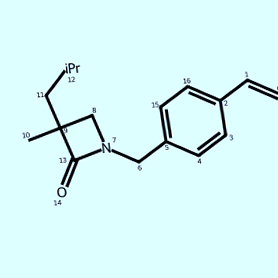 C=Cc1ccc(CN2CC(C)(CC(C)C)C2=O)cc1